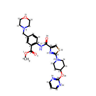 COC(=O)c1cc(CN2CCOCC2)ccc1NC(=O)c1csc(N2CCC(Oc3ncccn3)CC2)n1